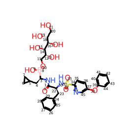 O=C(N[C@@H](CC1CC1)B(O)OC[C@@H](O)[C@@H](O)[C@H](O)[C@H](O)CO)[C@H](Cc1ccccc1)NS(=O)(=O)c1ccc(Oc2ccccc2)cn1